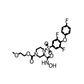 COCCOC(=O)N1CCN(S(=O)(=O)c2cc(F)c(Oc3ccc(F)cc3)c(F)c2)[C@@H](C(=O)NO)C1